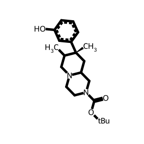 CC1CN2CCN(C(=O)OC(C)(C)C)CC2C[C@@]1(C)c1cccc(O)c1